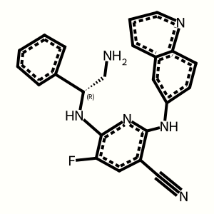 N#Cc1cc(F)c(N[C@@H](CN)c2ccccc2)nc1Nc1ccc2ncccc2c1